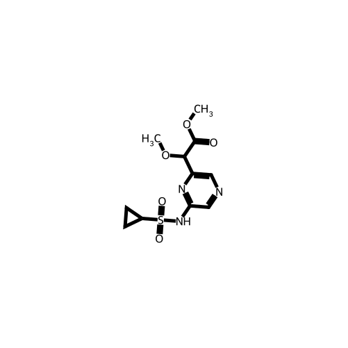 COC(=O)C(OC)c1cncc(NS(=O)(=O)C2CC2)n1